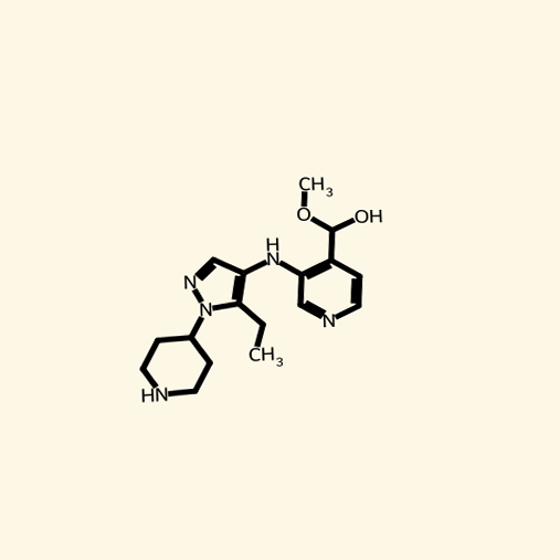 CCc1c(Nc2cnccc2C(O)OC)cnn1C1CCNCC1